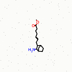 COC(=O)CCCC=CCC1C2CCC(C2)C1N